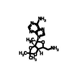 CC1(C)O[C@@H]2C(CN)O[C@](C)(n3cnc4c(N)ncnc43)[C@@H]2O1